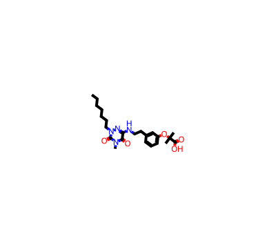 CCCCCCCn1nc(NCCc2cccc(OC(C)(C)C(=O)O)c2)c(=O)n(C)c1=O